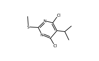 CSc1nc(Cl)c(C(C)C)c(Cl)n1